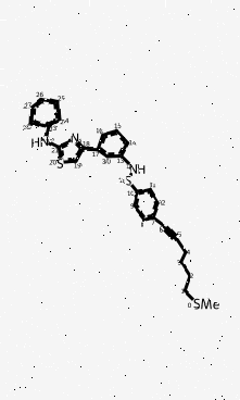 CSCCCCC#Cc1ccc(SNc2cccc(-c3csc(Nc4ccccc4)n3)c2)cc1